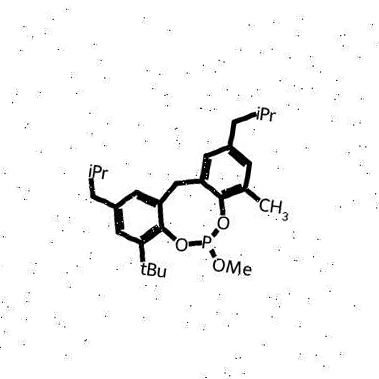 COP1Oc2c(C)cc(CC(C)C)cc2Cc2cc(CC(C)C)cc(C(C)(C)C)c2O1